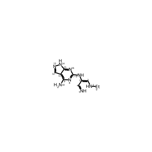 CCN/C=C(\C=N)Nc1nc(N)c2cn[nH]c2n1